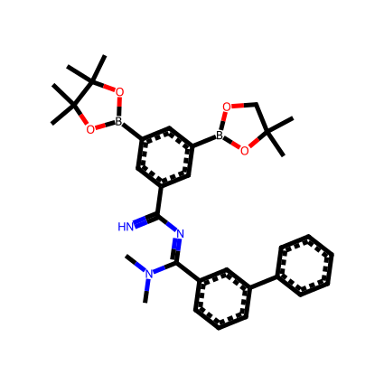 CN(C)/C(=N\C(=N)c1cc(B2OCC(C)(C)O2)cc(B2OC(C)(C)C(C)(C)O2)c1)c1cccc(-c2ccccc2)c1